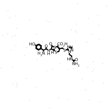 NC(=O)NCCn1nnnc1SCC1=C(C(=O)O)N2C(=O)C(NC(=O)C(N)c3ccc(O)cc3)[C@H]2SC1